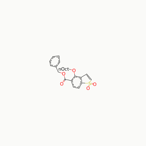 CCCCCCCCOc1c(C(=O)OCc2ccccc2)ccc2c1C=CS2(=O)=O